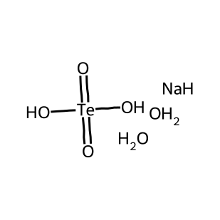 O.O.O=[Te](=O)(O)O.[NaH]